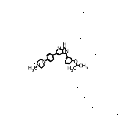 CC(C)Oc1cccc(-c2n[nH]c3ncc(-c4ccc(N5CCN(C)CC5)cc4)cc23)c1